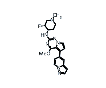 COc1nc(N[C@@H]2CCN(C)C[C@@H]2F)nn2ccc(-c3ccn4nccc4c3)c12